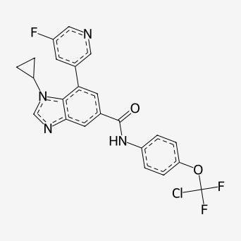 O=C(Nc1ccc(OC(F)(F)Cl)cc1)c1cc(-c2cncc(F)c2)c2c(c1)ncn2C1CC1